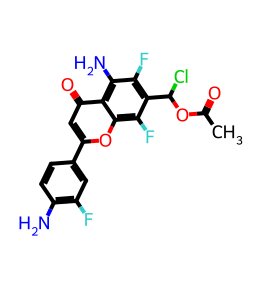 CC(=O)OC(Cl)c1c(F)c(N)c2c(=O)cc(-c3ccc(N)c(F)c3)oc2c1F